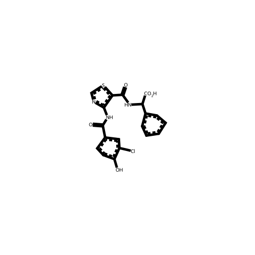 O=C(Nc1ncsc1C(=O)NC(C(=O)O)c1ccccc1)c1ccc(O)c(Cl)c1